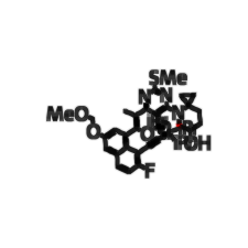 COCOc1cc(-c2oc(=O)c3c(N4CC(O)CCC45CC5)nc(SC)nc3c2C)c2c(C#C[Si](C(C)C)(C(C)C)C(C)C)c(F)ccc2c1